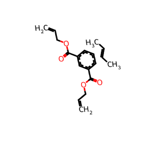 C=CCOC(=O)c1cccc(C(=O)OCC=C)c1.CC=CC